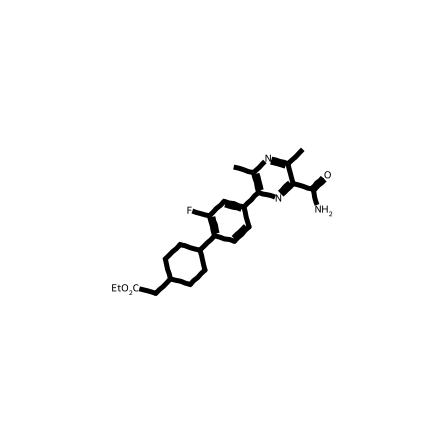 CCOC(=O)CC1CCC(c2ccc(-c3nc(C(N)=O)c(C)nc3C)cc2F)CC1